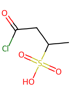 CC(CC(=O)Cl)S(=O)(=O)O